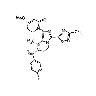 COC1=CC(=O)N(c2nc(-c3nc(C)ns3)n3c2[C@@H](C)N(C(=O)c2ccc(F)cc2)CC3)CC1